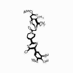 COC(=O)Cc1nn(CC(=O)N2CCC(c3nc(-c4cc(C(C)(C)C)c(OC)c(C(C)(C)C)c4)c(Cl)s3)CC2)c(C)c1C